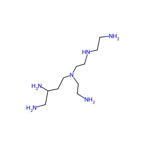 NCCNCCN(CCN)CCC(N)CN